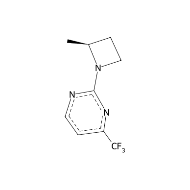 C[C@H]1CCN1c1nccc(C(F)(F)F)n1